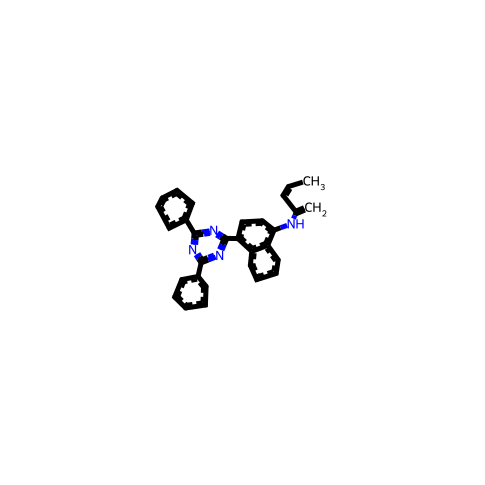 C=C(/C=C\C)Nc1ccc(-c2nc(-c3ccccc3)nc(-c3ccccc3)n2)c2ccccc12